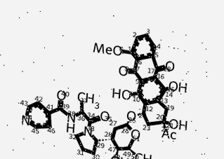 COc1cccc2c1C(=O)c1c(O)c3c(c(O)c1C2=O)C[C@@](O)(C(C)=O)C[C@@H]3O[C@H]1C[C@@H](C2CCCN2C(=O)C(C)NC(=O)c2ccncc2)[C@H](O)[C@H](C)O1